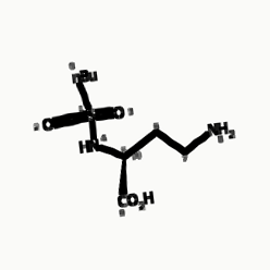 CCCCS(=O)(=O)N[C@@H](CCN)C(=O)O